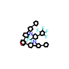 Fc1cc(-c2cc(-n3c4cc(-c5ccccc5)ccc4c4ccc(-c5ccccc5)cc43)c(C(F)(F)F)c(-n3c4cc(-c5ccccc5)ccc4c4ccc(-c5ccccc5)cc43)c2)c(F)c(F)c1F